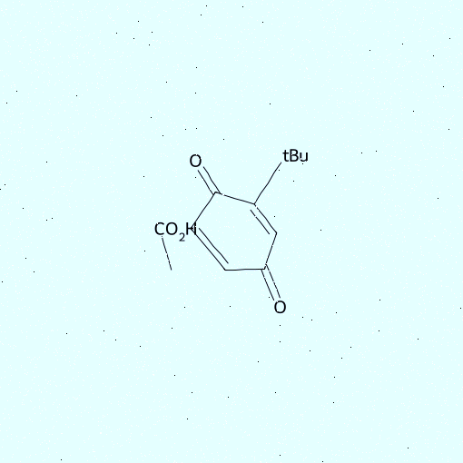 CC(=O)O.CC(C)(C)C1=CC(=O)C=CC1=O